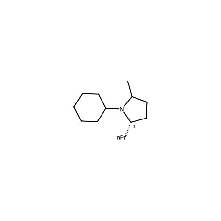 CCC[C@H]1CCC(C)N1C1CCCCC1